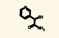 NC(=O)N(S)c1cccnc1